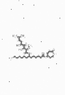 CCCCCCCC(CCCCCC(=O)OC1CCNC(=O)CC1)NC(=O)C(OC)C(O)C(O)C(O)/C=C/C(C)C